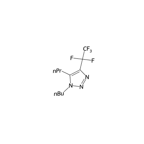 CCCCn1nnc(C(F)(F)C(F)(F)F)c1CCC